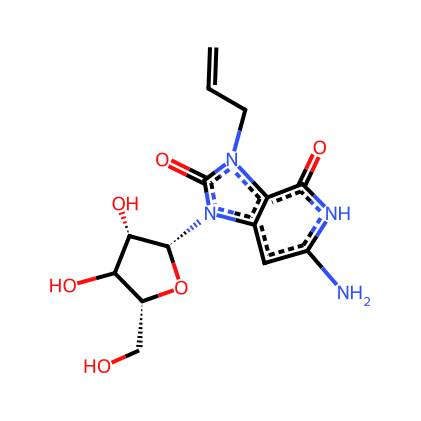 C=CCn1c(=O)n([C@@H]2O[C@H](CO)C(O)[C@@H]2O)c2cc(N)[nH]c(=O)c21